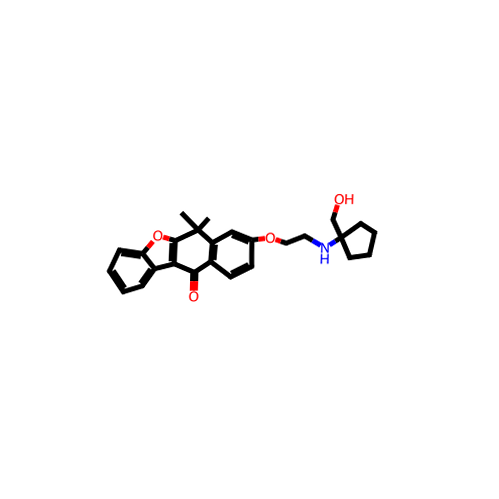 CC1(C)c2cc(OCCNC3(CO)CCCC3)ccc2C(=O)c2c1oc1ccccc21